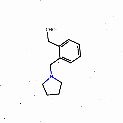 O=[C]Cc1ccccc1CN1CCCC1